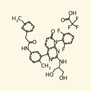 Cc1cccc(CC(=O)Nc2ccc(C)c(-c3nc(NC(CO)CO)nc4c3ccc(=O)n4-c3c(F)cccc3F)c2)c1.O=C(O)C(F)(F)F